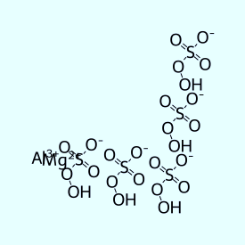 O=S(=O)([O-])OO.O=S(=O)([O-])OO.O=S(=O)([O-])OO.O=S(=O)([O-])OO.O=S(=O)([O-])OO.[Al+3].[Mg+2]